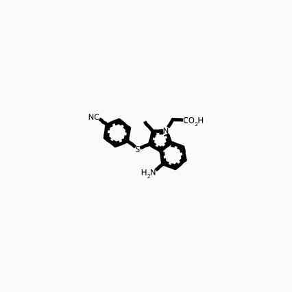 Cc1c(Sc2ccc(C#N)cc2)c2c(N)cccc2n1CC(=O)O